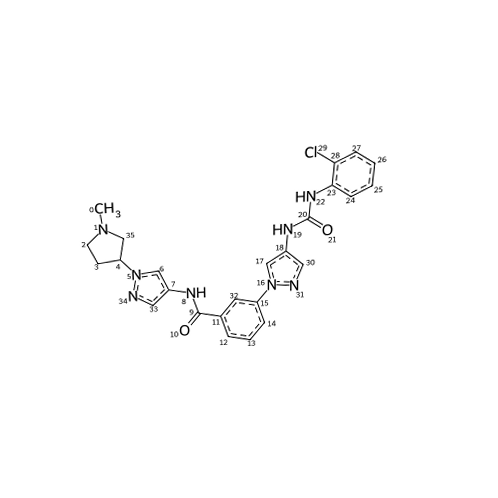 CN1CCC(n2cc(NC(=O)c3cccc(-n4cc(NC(=O)Nc5ccccc5Cl)cn4)c3)cn2)C1